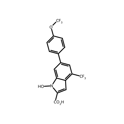 O=C(O)c1cc2c(C(F)(F)F)cc(-c3ccc(OC(F)(F)F)cc3)cc2n1O